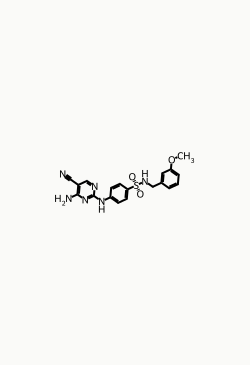 COc1cccc(CNS(=O)(=O)c2ccc(Nc3ncc(C#N)c(N)n3)cc2)c1